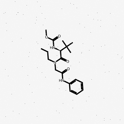 CCCN(CC(=O)Nc1ccccc1)C(=O)[C@@H](NC(=O)OC)C(C)(C)C